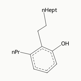 CCCCCCCCCc1c(O)cccc1CCC